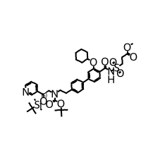 COC(=O)CCS(=O)(=O)NC(=O)c1ccc(-c2ccc(CCN(C[C@@H](O[Si](C)(C)C(C)(C)C)c3cccnc3)C(=O)OC(C)(C)C)cc2)cc1OC1CCCCC1